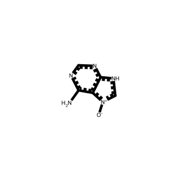 Nc1ncnc2[nH]c[n+]([O-])c12